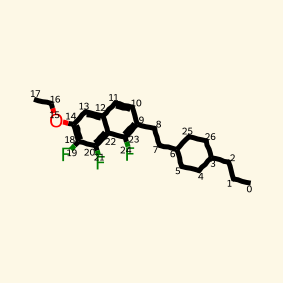 CCCC1CCC(CCc2ccc3cc(OCC)c(F)c(F)c3c2F)CC1